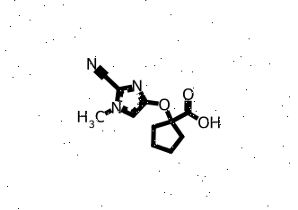 Cn1cc(OC2(C(=O)O)CCCC2)nc1C#N